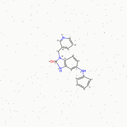 O=c1[nH]c2cc(Nc3ccccc3)ccc2n1Cc1cccnc1